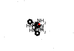 Nc1ccc(C2(OC3(c4ccc(N)cc4)Nc4ccccc4N3)Nc3ccccc3N2)cc1